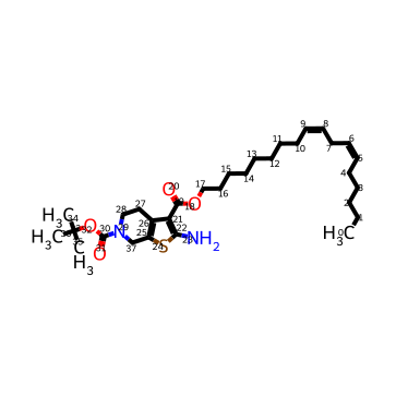 CCCCC/C=C\C/C=C\CCCCCCCCOC(=O)c1c(N)sc2c1CCN(C(=O)OC(C)(C)C)C2